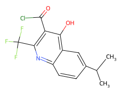 CC(C)c1ccc2nc(C(F)(F)F)c(C(=O)Cl)c(O)c2c1